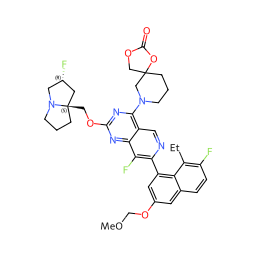 CCc1c(F)ccc2cc(OCOC)cc(-c3ncc4c(N5CCCC6(COC(=O)O6)C5)nc(OC[C@@]56CCCN5C[C@H](F)C6)nc4c3F)c12